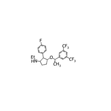 CCNC1CCC(O[C@H](C)c2cc(C(F)(F)F)cc(C(F)(F)F)c2)C1c1ccc(F)cc1